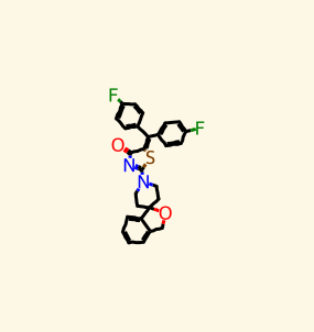 O=C1N=C(N2CCC3(CC2)OCc2ccccc23)SC1=C(c1ccc(F)cc1)c1ccc(F)cc1